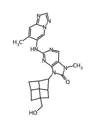 Cc1cc2ncnn2cc1Nc1ncc2c(n1)n(C1C3CC4CC5(CO)CC1C435)c(=O)n2C